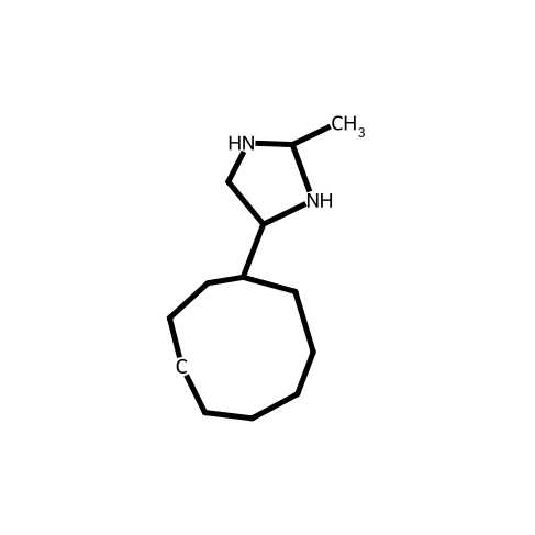 CC1NCC(C2CCCCCCCC2)N1